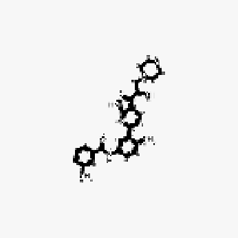 Cc1cccc(C(=O)Nc2ccc(C)c(-c3ccc4c(C(O)CN5CCOCC5)n[nH]c4n3)c2)c1